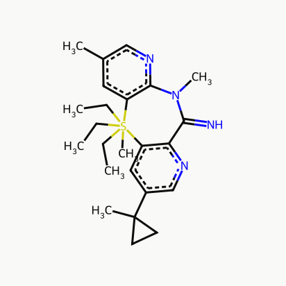 CCS1(C)(CC)(CC)c2cc(C3(C)CC3)cnc2C(=N)N(C)c2ncc(C)cc21